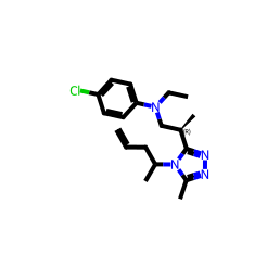 C=CCC(C)n1c(C)nnc1[C@H](C)CN(CC)c1ccc(Cl)cc1